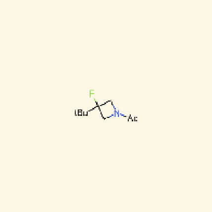 CC(=O)N1CC(F)(C(C)(C)C)C1